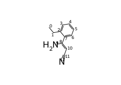 CCc1ccccc1C(N)=CC#N